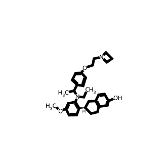 CCN(c1cc(OC)ccc1[C@@H]1CCc2cc(O)ccc2C1)C(C)c1ccc(OCCN2CCC2)cc1